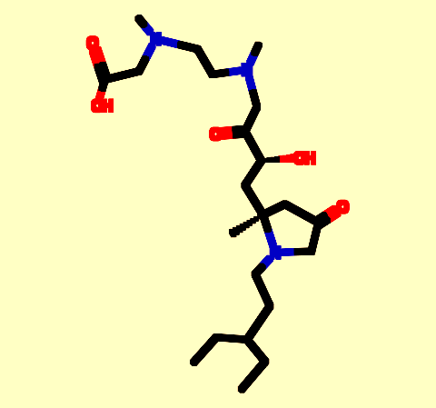 CCC(CC)CCN1CC(=O)C[C@]1(C)C[C@@H](O)C(=O)CN(C)CCN(C)CC(=O)O